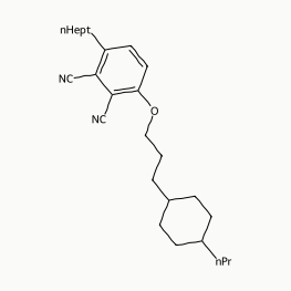 CCCCCCCc1ccc(OCCCC2CCC(CCC)CC2)c(C#N)c1C#N